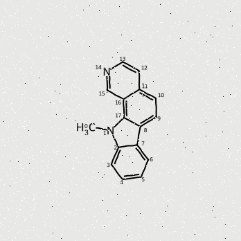 Cn1c2ccccc2c2ccc3ccncc3c21